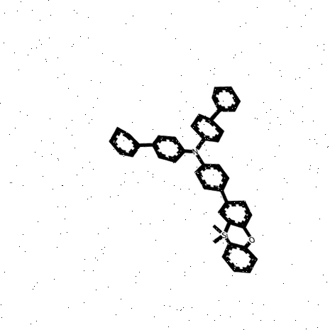 C[Si]1(C)c2ccccc2Oc2ccc(-c3ccc(N(c4ccc(-c5ccccc5)cc4)c4ccc(-c5ccccc5)cc4)cc3)cc21